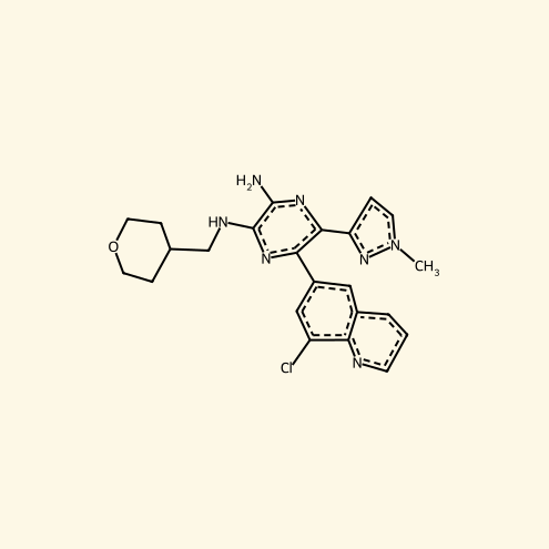 Cn1ccc(-c2nc(N)c(NCC3CCOCC3)nc2-c2cc(Cl)c3ncccc3c2)n1